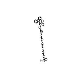 COC(=O)N(CCOCCOCCOCCOCCOCCOCCOCCOCC(=O)O)C1c2ccccc2-c2ccccc21